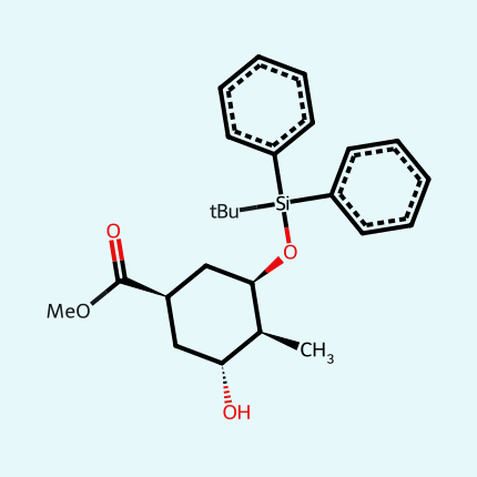 COC(=O)[C@@H]1C[C@@H](O)[C@H](C)[C@H](O[Si](c2ccccc2)(c2ccccc2)C(C)(C)C)C1